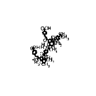 CN(C)c1ccc(C(=O)N(C)c2cc(C(=O)C=Cc3ccc(C(=O)O)cc3)cc3c2C(C)(C)CCC3(C)C)cc1.CN(C)c1ccc(C(=O)Nc2cc(C(O)C=Cc3ccc(C(=O)O)cc3)cc3c2C(C)(C)CCC3(C)C)cc1